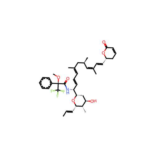 C/C=C/[C@@H]1O[C@H]([C@@H](/C=C/C=C(\C)C[C@@H](C)/C=C(C)\C=C\[C@H]2CC=CC(=O)O2)NC(=O)[C@@](OC)(c2ccccc2)C(F)(F)F)C[C@@H](O)[C@@H]1C